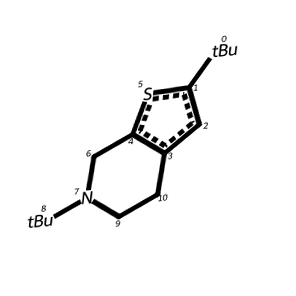 CC(C)(C)c1cc2c(s1)CN(C(C)(C)C)CC2